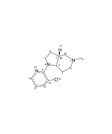 CN1CCC2[C@H](CCN2c2ncccc2Cl)C1